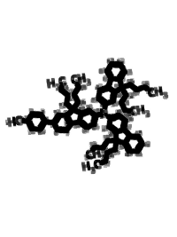 [CH]c1ccc(-c2ccc3c(c2)C(CCCC)(CCCC)c2cc(N(c4ccc5c(c4)C(CCCC)(CCCC)c4ccccc4-5)c4ccc5c(c4)C(CCCC)(CCCC)c4ccccc4-5)ccc2-3)cc1